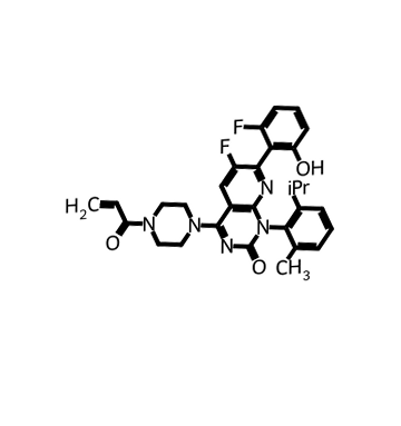 C=CC(=O)N1CCN(c2nc(=O)n(-c3c(C)cccc3C(C)C)c3nc(-c4c(O)cccc4F)c(F)cc23)CC1